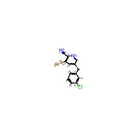 N#Cc1ncc(Cc2cccc(Cl)c2)cc1Br